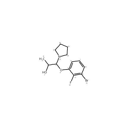 CC(O)C(Oc1cccc(Br)c1F)N1CCCC1